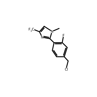 Cn1cc(C(F)(F)F)nc1-c1ccc(CCl)cc1F